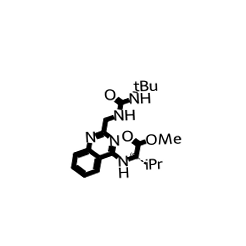 COC(=O)[C@@H](Nc1nc(CNC(=O)NC(C)(C)C)nc2ccccc12)C(C)C